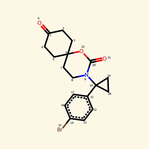 O=C1CCC2(CC1)CCN(C1(c3ccc(Br)cc3)CC1)C(=O)O2